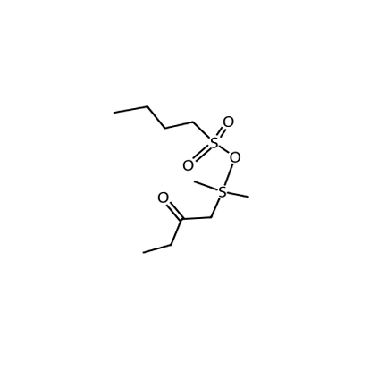 CCCCS(=O)(=O)OS(C)(C)CC(=O)CC